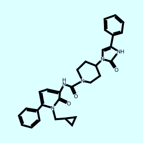 O=C(Nc1ccc(-c2ccccc2)n(CC2CC2)c1=O)N1CCC(n2cc(-c3ccccc3)[nH]c2=O)CC1